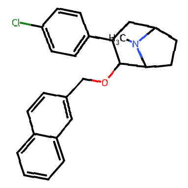 CN1C2CCC1C(OCc1ccc3ccccc3c1)C(c1ccc(Cl)cc1)C2